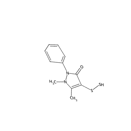 Cc1c(SS)c(=O)n(-c2ccccc2)n1C